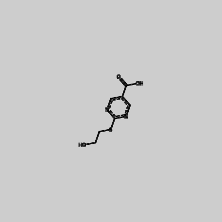 O=C(O)c1cnc(SCCO)nc1